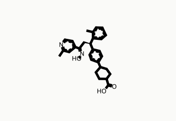 Cc1cc(C(C[C@H](c2ccc(C3CCC(C(=O)O)CC3)cc2)c2ccccc2C)=NO)ccn1